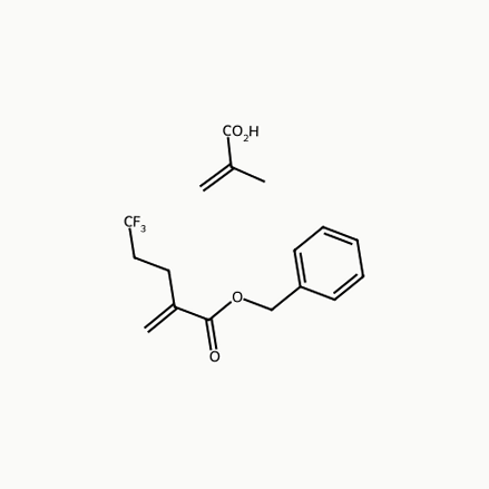 C=C(C)C(=O)O.C=C(CCC(F)(F)F)C(=O)OCc1ccccc1